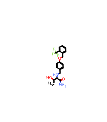 CC(O)C(NCc1ccc(OCc2ccccc2C(F)(F)F)cc1)C(N)=O